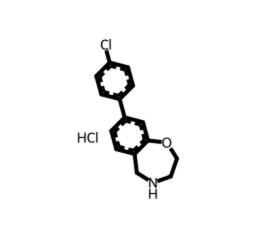 Cl.Clc1ccc(-c2ccc3c(c2)OCCNC3)cc1